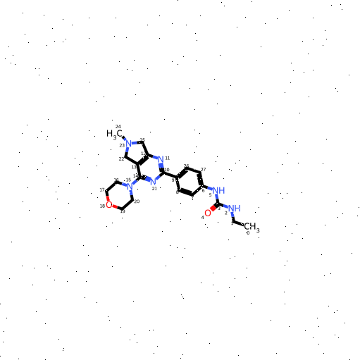 CCNC(=O)Nc1ccc(-c2nc3c(c(N4CCOCC4)n2)CN(C)C3)cc1